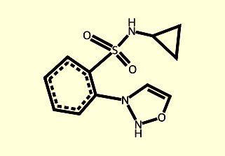 O=S(=O)(NC1CC1)c1ccccc1N1C=CON1